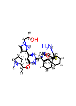 C[C@H](O)Cn1ccc(-c2cc(O[C@@H](C)[C@@H]3CCCN3C)nc(-c3noc4c3CCC[C@@]43CCCc4sc(N)c(C#N)c43)n2)n1